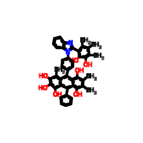 Bc1c(B)c(O)c(O)c(-c2nc3ccccc3n2-c2ccc(-c3c4c(B)c(O)c(O)c(O)c4c(-c4ccccc4)c4c(O)c(B)c(B)c(O)c34)cc2)c1B